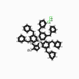 CCC(C)C1=CCC([Si](c2cc(Cc3ccccc3)cc(Cc3ccccc3)c2)(c2cc(Cc3ccccc3)cc(Cc3ccccc3)c2)c2cc(Cc3ccccc3)cc(Cc3ccccc3)c2)=[C]1[Ti+3].[Cl-].[Cl-].[Cl-]